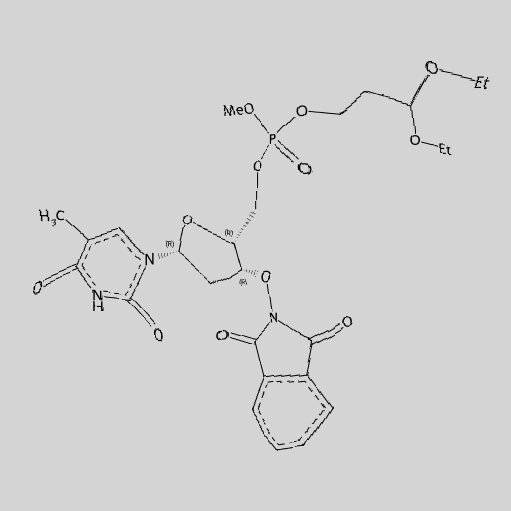 CCOC(CCOP(=O)(OC)OC[C@H]1O[C@@H](n2cc(C)c(=O)[nH]c2=O)C[C@H]1ON1C(=O)c2ccccc2C1=O)OCC